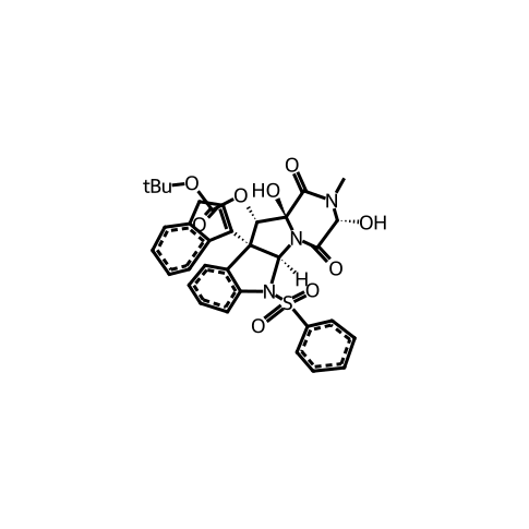 CN1C(=O)[C@@]2(O)[C@@H](OC(=O)OC(C)(C)C)[C@]3(C4=CCc5ccccc54)c4ccccc4N(S(=O)(=O)c4ccccc4)[C@@H]3N2C(=O)[C@H]1O